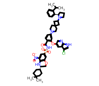 CC(C)c1ccccc1[C@H]1CCCN1C1CC2(CCN(c3ccc(C(=O)NS(=O)(=O)c4cc5c(c([N+](=O)[O-])c4)N[C@@H](C4CCC(C)(C)CC4)CO5)c(Oc4cnc5[nH]cc(Cl)c5c4)c3)CC2)C1